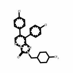 O=c1n(CC2CCC(C(F)(F)F)CC2)nc2c(-c3ccc(Cl)cc3)c(-c3ccc(Cl)cc3)cnn12